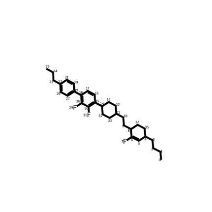 CCCCC1C=C(F)C(CCC2CCC(c3ccc(-c4ccc(CCC)cc4)c(F)c3F)CC2)CC1